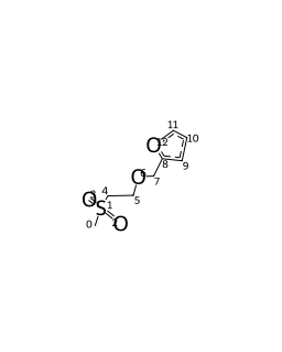 CS(=O)(=O)CCOCc1ccco1